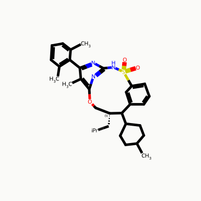 Cc1cccc(C)c1-c1nc2nc(c1C)OC[C@@H](CC(C)C)C(C1CCC(C)CC1)c1cccc(c1)S(=O)(=O)N2